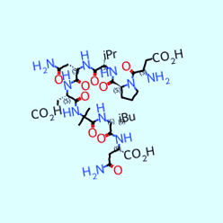 CC[C@H](C)[C@H](NC(=O)C(C)(C)NC(=O)[C@H](CC(=O)O)NC(=O)[C@H](CC(N)=O)NC(=O)[C@@H](NC(=O)[C@@H]1CCCN1C(=O)[C@@H](N)CC(=O)O)C(C)C)C(=O)N[C@@H](CC(N)=O)C(=O)O